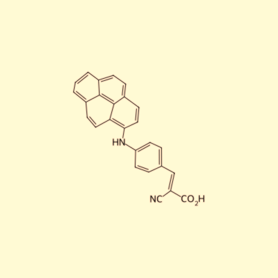 N#C/C(=C\c1ccc(Nc2ccc3ccc4cccc5ccc2c3c45)cc1)C(=O)O